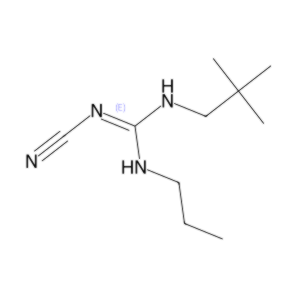 CCCN/C(=N\C#N)NCC(C)(C)C